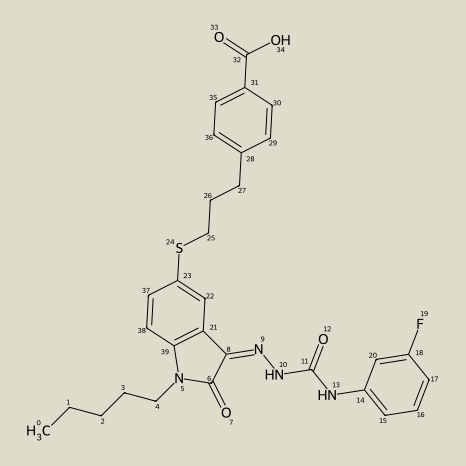 CCCCCN1C(=O)C(=NNC(=O)Nc2cccc(F)c2)c2cc(SCCCc3ccc(C(=O)O)cc3)ccc21